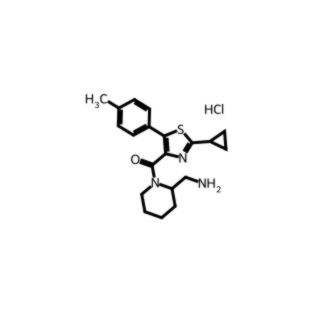 Cc1ccc(-c2sc(C3CC3)nc2C(=O)N2CCCCC2CN)cc1.Cl